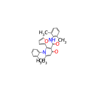 Cc1ccccc1-n1c(C)cc(=O)c(C(=O)Nc2c(C)cccc2C)c1-c1ccco1